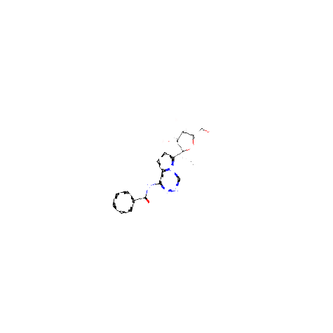 N#C[C@@]1(c2ccc3c(NC(=O)c4ccccc4)nncn23)O[C@H](CO)[C@@H](O)[C@H]1O